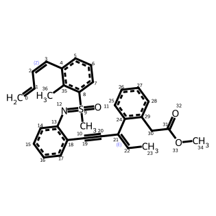 C=C/C=C\c1cccc(S(C)(=O)=Nc2ccccc2C#C/C(=C/C)c2ccccc2CC(=O)OC)c1C